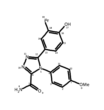 COc1ccc(-n2c(C(N)=O)nnc2-c2ccc(O)c(C(C)C)c2)cc1